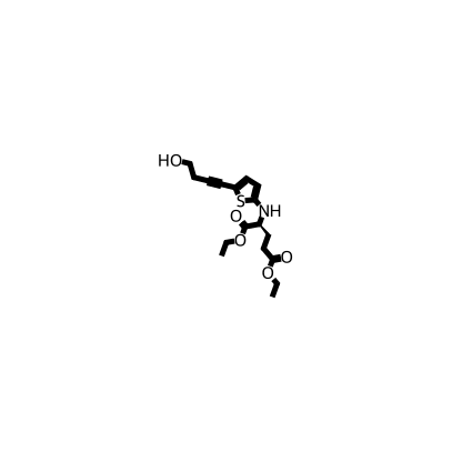 CCOC(=O)CC[C@H](Nc1ccc(C#CCCO)s1)C(=O)OCC